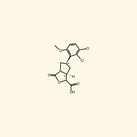 COc1ccc(Cl)c(Cl)c1[C@H]1C[C@H]2C(C(=O)O)OC(=O)N2C1